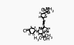 CC(C)(O)c1cc(-c2ccc(Cl)cc2)nc2c(C#Cc3ccc(S(N)(=O)=O)s3)cnn12